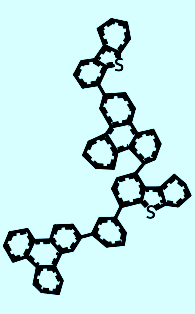 c1cc(-c2ccc3c4ccccc4c4ccccc4c3c2)cc(-c2ccc(-c3cccc4c5ccc(-c6cccc7c6sc6ccccc67)cc5c5ccccc5c34)c3c2sc2ccccc23)c1